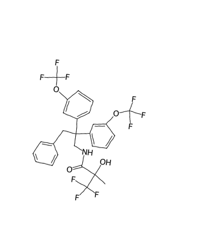 CC(O)(C(=O)NCC(Cc1ccccc1)(c1cccc(OC(F)(F)F)c1)c1cccc(OC(F)(F)F)c1)C(F)(F)F